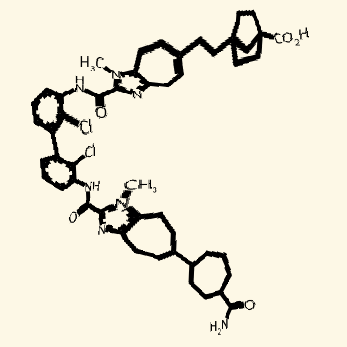 Cn1c(C(=O)Nc2cccc(-c3cccc(NC(=O)c4nc5c(n4C)CCC(C4CCCC(C(N)=O)CC4)CC5)c3Cl)c2Cl)nc2c1CCC(CCC13CCC(C(=O)O)(CC1)C3)=CC2